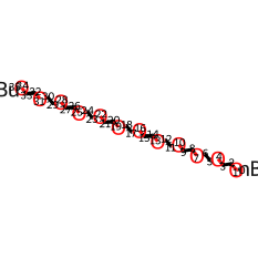 CCCCOCCOCCOCCOCCOCCOCCOCCOCCOCCOCCOCCOCCCC